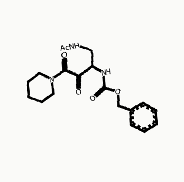 CC(=O)NCC(NC(=O)OCc1ccccc1)C(=O)C(=O)N1CCCCC1